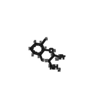 Cc1cccc(C)c1OC(CN)C(C)C